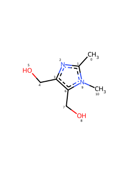 Cc1nc(CO)c(CO)n1C